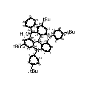 CC(C)(C)c1ccc(N2c3cccc4c3B3c5c2cc(C(C)(C)C)cc5C(C)(c2ccccc2)c2cc(C(C)(C)C)cc(c23)N4c2ccc(C(C)(C)C)cc2)cc1